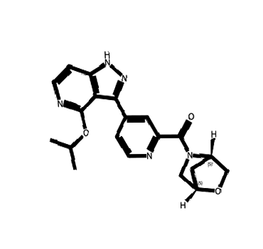 CC(C)Oc1nccc2[nH]nc(-c3ccnc(C(=O)N4C[C@@H]5C[C@H]4CO5)c3)c12